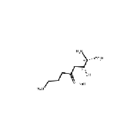 CCCCCCCCCCCC(=O)C[C@@H](O)[C@H](N)C(=O)O.[NaH]